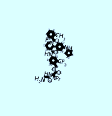 Cc1cccc(F)c1C(=O)N1CCC[C@H](C(=O)Nc2ccc(COC(=O)C(NC(=O)CN)C(C)C)c(C(F)(F)F)c2)[C@@H]1c1ccc(NC2CCCC2)cc1